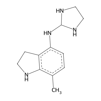 Cc1ccc(NC2NCCN2)c2c1NCC2